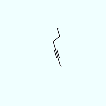 [CH2]C#CCC[CH2]